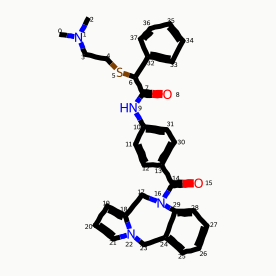 CN(C)CCSC(C(=O)Nc1ccc(C(=O)N2Cc3cccn3Cc3ccccc32)cc1)c1ccccc1